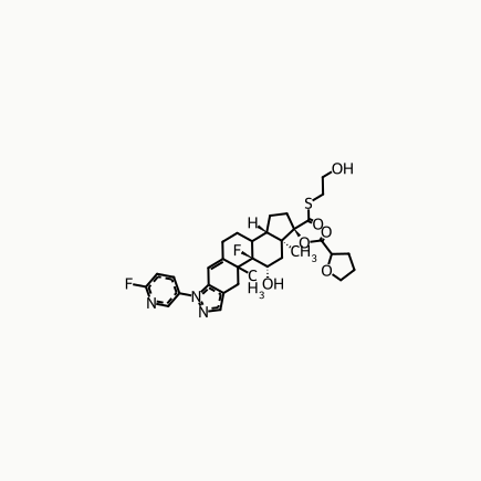 CC12Cc3cnn(-c4ccc(F)nc4)c3C=C1CCC1[C@@H]3CC[C@](OC(=O)C4CCCO4)(C(=O)SCCO)[C@@]3(C)C[C@H](O)[C@@]12F